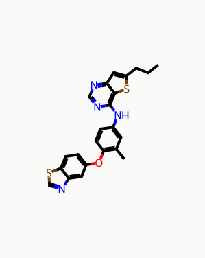 CCCc1cc2ncnc(Nc3ccc(Oc4ccc5scnc5c4)c(C)c3)c2s1